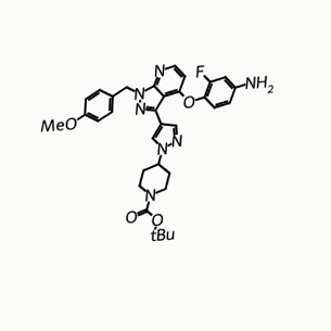 COc1ccc(Cn2nc(-c3cnn(C4CCN(C(=O)OC(C)(C)C)CC4)c3)c3c(Oc4ccc(N)cc4F)ccnc32)cc1